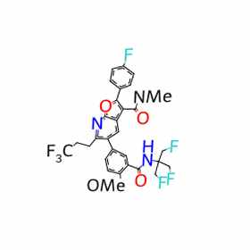 CNC(=O)c1c(-c2ccc(F)cc2)oc2nc(CCC(F)(F)F)c(-c3ccc(OC)c(C(=O)NC(CF)(CF)CF)c3)cc12